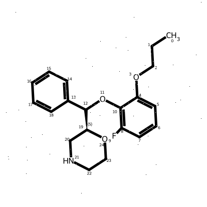 CCCOc1cccc(F)c1OC(c1ccccc1)[C@@H]1CNCCO1